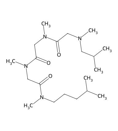 CC(C)CCCN(C)C(=O)CN(C)C(=O)CN(C)C(=O)CN(C)CC(C)C